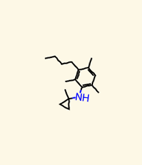 CCCCc1c(C)cc(C)c(NC2(C)CC2)c1C